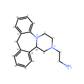 NCCN1CCN2c3ccccc3Cc3ccccc3C2C1